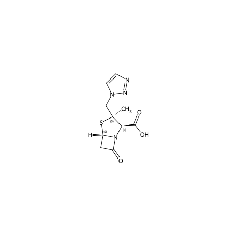 C[C@@]1(Cn2ccnn2)S[C@H]2CC(=O)N2[C@@H]1C(=O)O